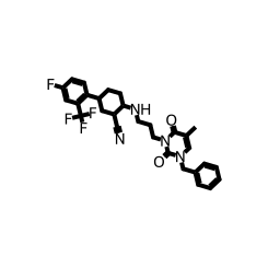 Cc1cn(Cc2ccccc2)c(=O)n(CCCNC2CCC(c3ccc(F)cc3C(F)(F)F)CC2C#N)c1=O